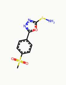 CS(=O)(=O)c1ccc(-c2nnc(SN)o2)cc1